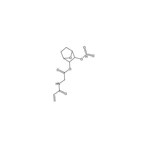 C=CC(=O)NCC(=O)OC1C2CCC(O2)C1O[SH](=O)=O